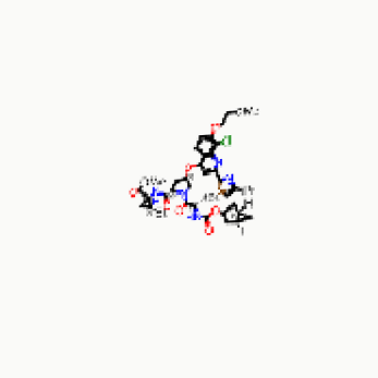 CC[C@@H]1C[C@]1(NC(=O)[C@@H]1C[C@@H](Oc2cc(-c3nc(C(C)C)cs3)nc3c(Cl)c(OCCOC)ccc23)CN1C(=O)[C@@H](NC(=O)O[C@@H]1C[C@@H]2C[C@@H]2C1)C(C)(C)C)C(=O)OC